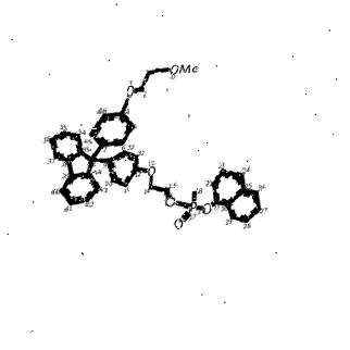 COCCOc1ccc(C2(c3ccc(OCCOP(C)(=O)Oc4cccc5ccccc45)cc3)c3ccccc3-c3ccccc32)cc1